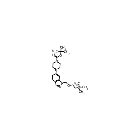 CC(C)(C)OC(=O)N1CCN(c2ccc3cnn(COCC[Si](C)(C)C)c3c2)CC1